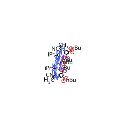 [C-]#[N+]c1c(C)nn(-c2cc(C(=O)OCCCC)cc(C(=O)OCCCC)c2)c1N=Nc1c(C(C)C)nn(-c2nc(OCCCC)nc(-n3nc(C(C)C)c(N=Nc4c(C#N)c(C)nn4-c4cc(C(=O)OCCCC)cc(C(=O)OCCCC)c4)c3N)n2)c1N